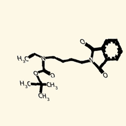 CCN(CCCCN1C(=O)c2ccccc2C1=O)C(=O)OC(C)(C)C